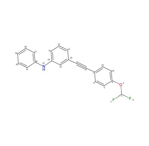 FC(F)Oc1ccc(C#Cc2cccc(Nc3ccccc3)c2)cc1